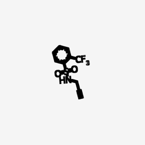 C#CCNS(=O)(=O)c1ccccc1C(F)(F)F